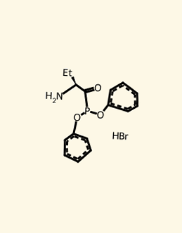 Br.CC[C@H](N)C(=O)P(Oc1ccccc1)Oc1ccccc1